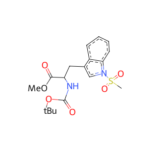 COC(=O)C(Cc1cn(S(C)(=O)=O)c2ccccc12)NC(=O)OC(C)(C)C